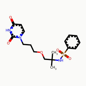 CC(C)(COCCCn1ccc(=O)[nH]c1=O)NS(=O)(=O)c1ccccc1